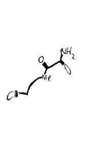 NC(=O)C(=O)NCCCl